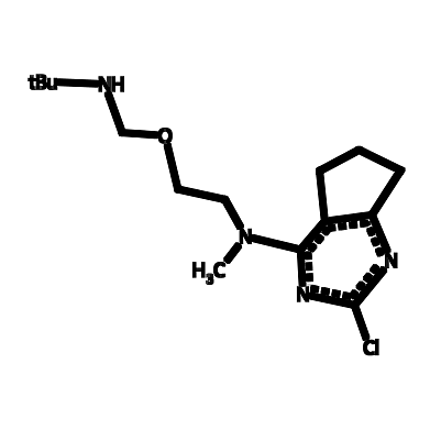 CN(CCOCNC(C)(C)C)c1nc(Cl)nc2c1CCC2